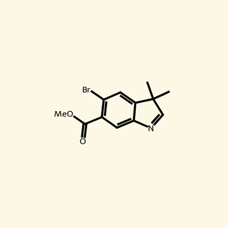 COC(=O)c1cc2c(cc1Br)C(C)(C)C=N2